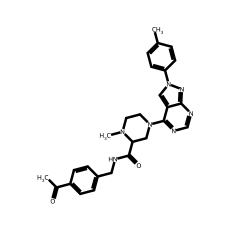 CC(=O)c1ccc(CNC(=O)C2CN(c3ncnc4nn(-c5ccc(C)cc5)cc34)CCN2C)cc1